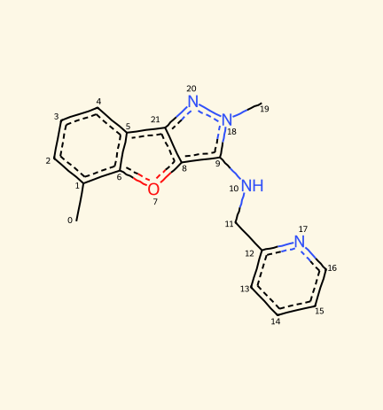 Cc1cccc2c1oc1c(NCc3ccccn3)n(C)nc12